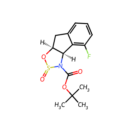 CC(C)(C)OC(=O)N1[C@@H]2c3c(F)cccc3C[C@@H]2OS1=O